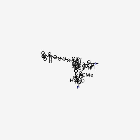 C/C=C/C1=CN2C(=O)c3cc(OC)c(OCCCOc4cc5c(cc4OC)C(=O)N4C=C(/C=C/C)C[C@H]4[C@H](O)N5C(=O)OCc4ccc(NC(=O)[C@H](C)NC(=O)[C@H](NC(=O)CCOCCOCCOCCOCCNC(=O)CCN5C(=O)C=CC5=O)C(C)C)cc4)cc3N=C[C@@H]2C1